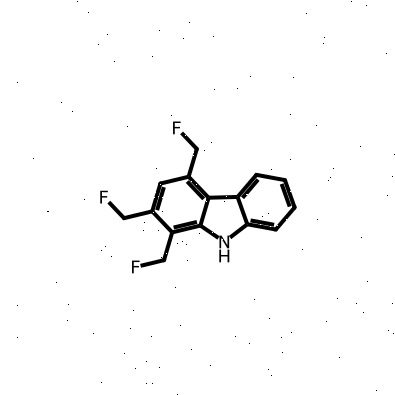 FCc1cc(CF)c2c([nH]c3ccccc32)c1CF